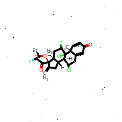 C=C1C[C@H]2[C@@H]3C(Cl)CC4=CC(=O)C=C[C@]4(C)[C@@]3(Cl)C(Cl)C[C@]2(C)[C@@]1(OC(=O)CC)C(=O)CF